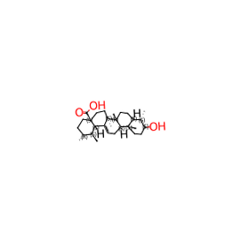 C[C@@H]1[C@@H](O)CC[C@]2(C)[C@H]3CC=C4[C@@H]5[C@@H](C)[C@H](C)CC[C@]5(C(=O)O)CC[C@@]4(C)[C@]3(C)CC[C@@H]12